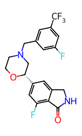 O=C1NCc2cc([C@H]3CN(Cc4cc(F)cc(C(F)(F)F)c4)CCO3)cc(F)c21